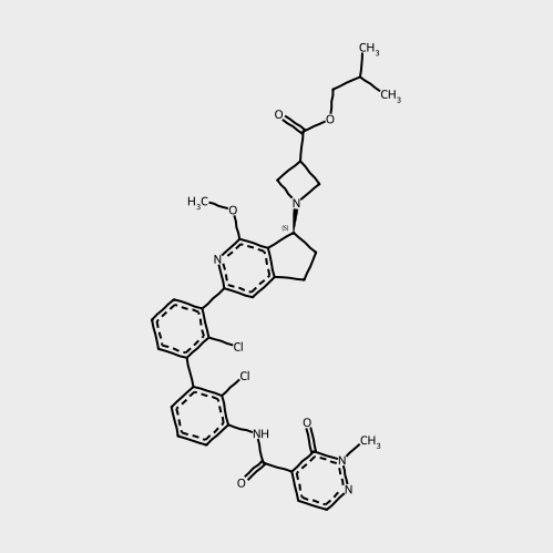 COc1nc(-c2cccc(-c3cccc(NC(=O)c4ccnn(C)c4=O)c3Cl)c2Cl)cc2c1[C@@H](N1CC(C(=O)OCC(C)C)C1)CC2